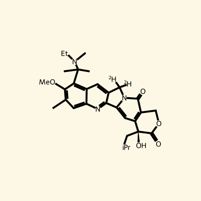 [2H]C1([2H])c2cc3c(C(C)(C)N(C)CC)c(OC)c(C)cc3nc2-c2cc3c(c(=O)n21)COC(=O)[C@]3(O)CC(C)C